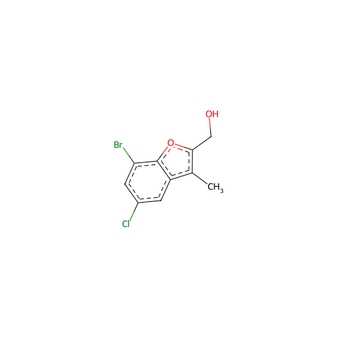 Cc1c(CO)oc2c(Br)cc(Cl)cc12